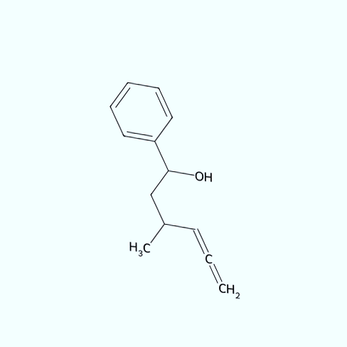 C=C=CC(C)CC(O)c1ccccc1